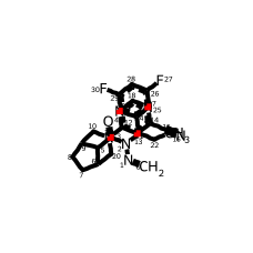 C=NN(C(=O)C1C2CCC1CN(c1cc(C#N)ncn1)C2)C(CC)c1cc(F)cc(F)c1